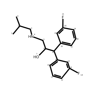 CC(C)CNCC(O)C(c1cccc(F)c1)c1cccc(F)c1